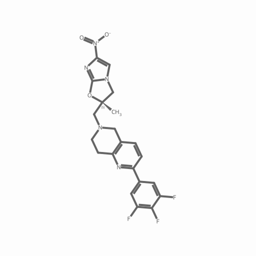 C[C@]1(CN2CCc3nc(-c4cc(F)c(F)c(F)c4)ccc3C2)Cn2cc([N+](=O)[O-])nc2O1